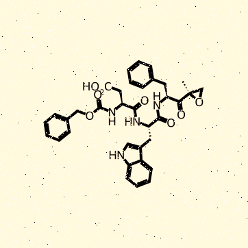 C[C@]1(C(=O)[C@H](Cc2ccccc2)NC(=O)[C@H](Cc2c[nH]c3ccccc23)NC(=O)[C@H](CC(=O)O)NC(=O)OCc2ccccc2)CO1